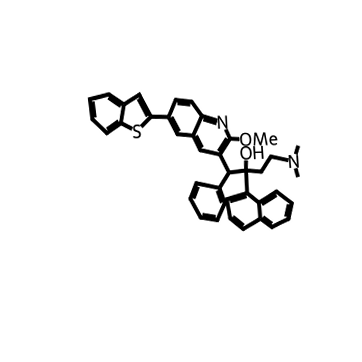 COc1nc2ccc(-c3cc4ccccc4s3)cc2cc1C(c1ccccc1)C(O)(CCN(C)C)c1cccc2ccccc12